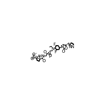 CCN(CCN(OC)C(=O)CNC(=O)c1ccc([N+](=O)[O-])o1)c1c(F)cc(N2C[C@H](Cn3ccnn3)OC2=O)cc1F